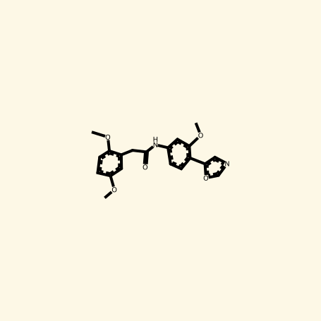 COc1ccc(OC)c(CC(=O)Nc2ccc(-c3cnco3)c(OC)c2)c1